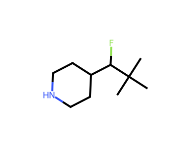 CC(C)(C)C(F)C1CCNCC1